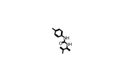 C=C(C)C(=C)NC(=O)Nc1ccc(C)cc1